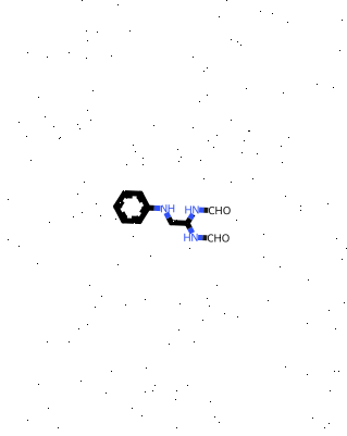 O=CNC(CNc1ccccc1)NC=O